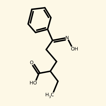 CCC(CCC(=NO)c1ccccc1)C(=O)O